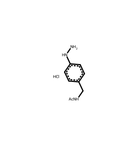 CC(=O)NCc1ccc(NN)cc1.Cl